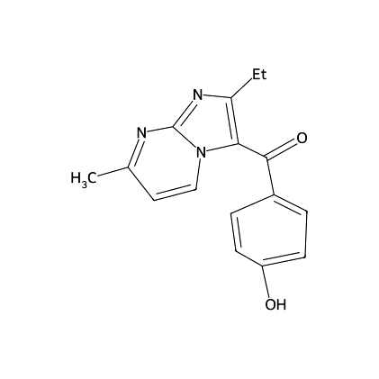 CCc1nc2nc(C)ccn2c1C(=O)c1ccc(O)cc1